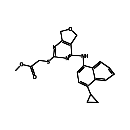 COC(=O)CSc1nc2c(c(Nc3ccc(C4CC4)c4ccccc34)n1)COC2